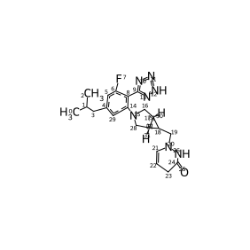 CC(C)Cc1cc(F)c(-c2nn[nH]n2)c(N2C[C@@H]3C(CN4C=CCC(=O)N4)[C@@H]3C2)c1